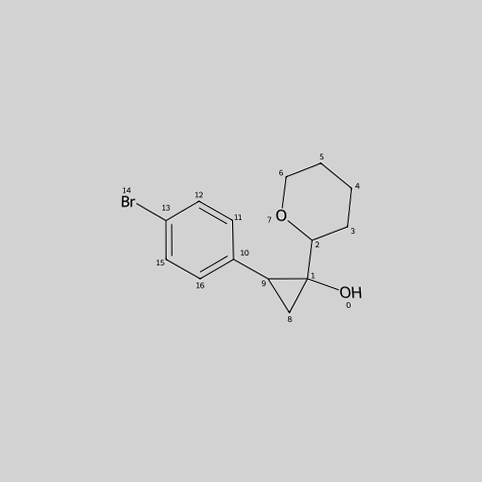 OC1(C2CCCCO2)CC1c1ccc(Br)cc1